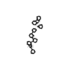 c1ccc(-c2nc3c(-c4cccc5oc6c(-c7ccc(N(c8ccccc8)c8cccc9c8oc8ccccc89)cc7)cccc6c45)cccc3o2)cc1